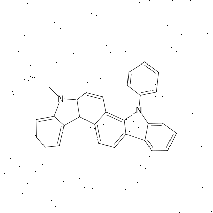 CN1C2=CCCC=C2C2c3ccc4c5ccccc5n(-c5ccccc5)c4c3C=CC21